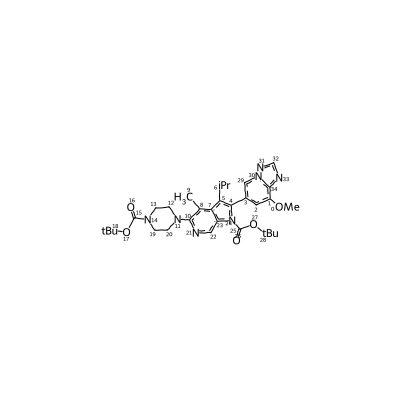 COc1cc(-c2c(C(C)C)c3c(C)c(N4CCN(C(=O)OC(C)(C)C)CC4)ncc3n2C(=O)OC(C)(C)C)cn2ncnc12